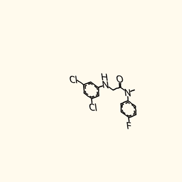 CN(C(=O)CNc1cc(Cl)cc(Cl)c1)c1ccc(F)cc1